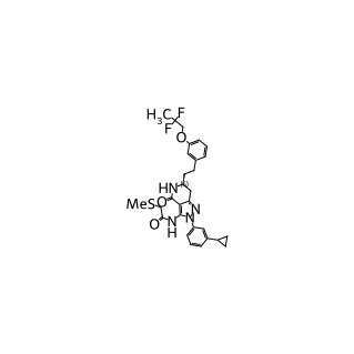 CSCC(=O)Nc1c2c(nn1-c1cccc(C3CC3)c1)C[C@H](CCc1cccc(OCC(C)(F)F)c1)NC2=O